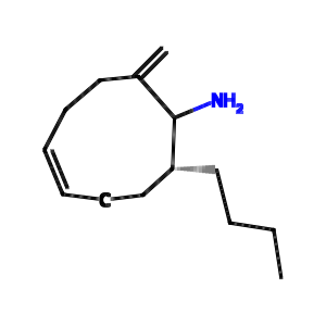 C=C1CC/C=C\CC[C@@H](CCCC)C1N